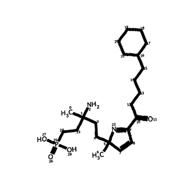 CC(N)(CCC1(C)C=CC(C(=O)CCCCC2CCCCC2)=N1)CCP(=O)(O)O